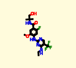 CCNc1nc(Nc2cc(F)c(C(=O)NC(C)(C)CO)cc2OC)ncc1C(F)(F)F